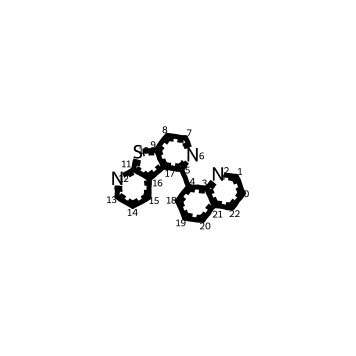 c1cnc2c(-c3nccc4sc5ncccc5c34)cccc2c1